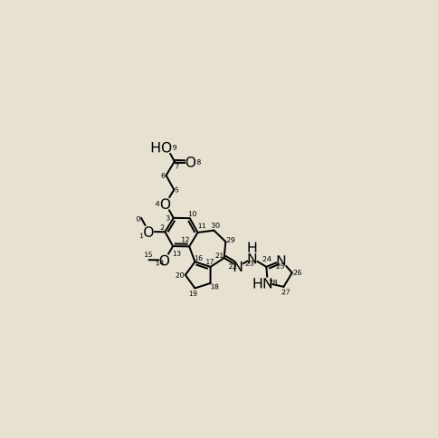 COc1c(OCCC(=O)O)cc2c(c1OC)C1=C(CCC1)C(=NNC1=NCCN1)CC2